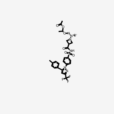 CC(=O)OC(C)O/N=[N+](/[O-])N1CC(C(=O)NS(=O)(=O)c2ccc(-n3nc(C(F)(F)F)cc3-c3ccc(C)cc3)cc2)C1